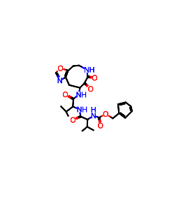 CC(C)C(NC(=O)OCc1ccccc1)C(=O)NC(C(=O)NC1Cc2ncoc2CCNC(=O)C1=O)C(C)C